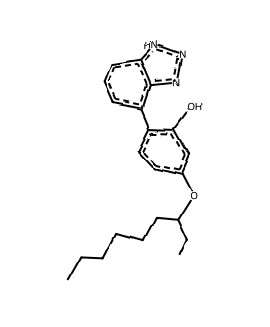 CCCCCCC(CC)Oc1ccc(-c2cccc3[nH]nnc23)c(O)c1